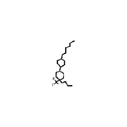 CCCCCCC1CCC(C2CCC(CCCC)(C(F)(F)F)CC2)CC1